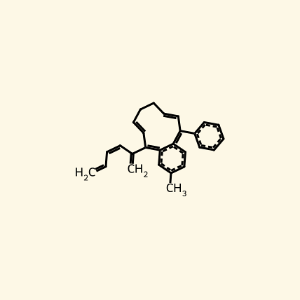 C=C/C=C\C(=C)C1=c2\cc(C)cc\c2=C(c2ccccc2)\C=C\CC\C=C\1